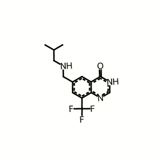 CC(C)CNCc1cc(C(F)(F)F)c2nc[nH]c(=O)c2c1